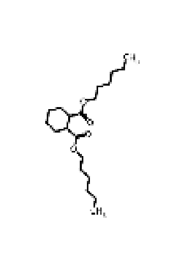 CCCCCCOC(=O)C1CCCCC1C(=O)OCCCCCC